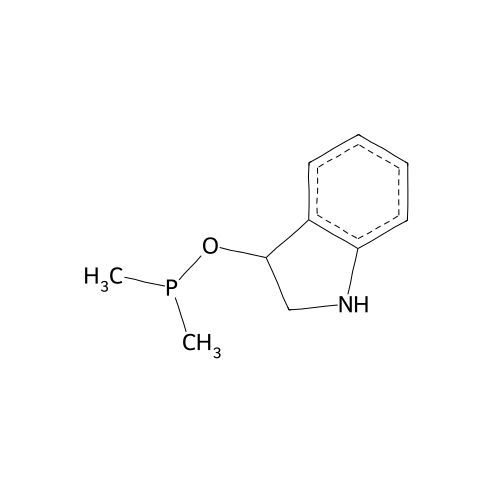 CP(C)OC1CNc2ccccc21